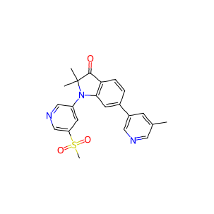 Cc1cncc(-c2ccc3c(c2)N(c2cncc(S(C)(=O)=O)c2)C(C)(C)C3=O)c1